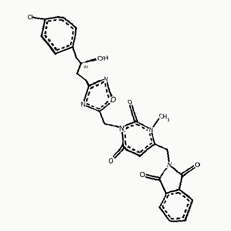 Cn1c(CN2C(=O)c3ccccc3C2=O)cc(=O)n(Cc2nc(C[C@H](O)c3ccc(Cl)cc3)no2)c1=O